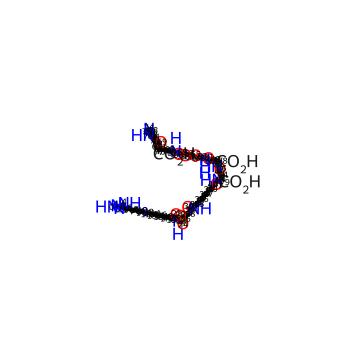 N=N/N=C(\N)CCCCCCCCCCCCCCCC(=O)NS(=O)(=O)CCCC(=O)NCCCCCCCCCON[C@@H](CCON[C@@H](CCONCCOCCOCONCCCC[C@H](CC(=O)CCc1cnc[nH]1)C(=O)O)C(=O)O)C(=O)O